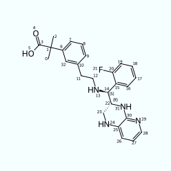 CC(C)(C(=O)O)c1cccc(CCN[C@@H](c2ccccc2F)[C@H]2CNc3cccnc3N2)c1